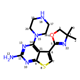 CC1(C)COC(c2csc3nc(N)nc(N4CCNCC4)c23)=N1